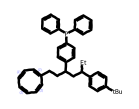 CCC(CC(CCC1=C/C=C\C=C/C=C\1)c1ccc(P(c2ccccc2)c2ccccc2)cc1)c1ccc(C(C)(C)C)cc1